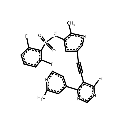 CCc1ncnc(-c2ccnc(C)c2)c1C#Cc1cnc(C)c(NS(=O)(=O)c2c(F)cccc2F)c1